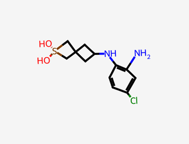 Nc1cc(Cl)ccc1NC1CC2(C1)CS(O)(O)C2